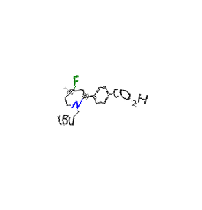 CC(C)(C)CN1CC[C@@](C)(F)C[C@H]1c1ccc(C(=O)O)cc1